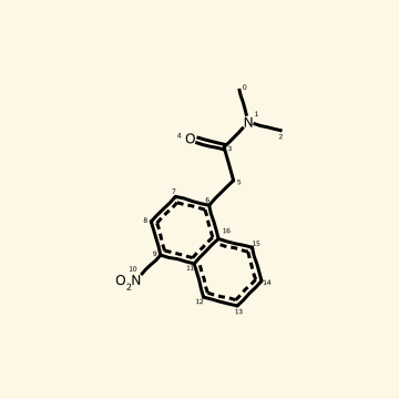 CN(C)C(=O)Cc1ccc([N+](=O)[O-])c2ccccc12